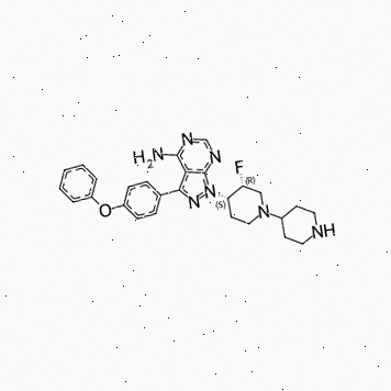 Nc1ncnc2c1c(-c1ccc(Oc3ccccc3)cc1)nn2[C@H]1CCN(C2CCNCC2)C[C@H]1F